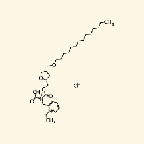 CCCCCCCCCCCCCCOC[C@H]1CO[C@H](COC(=O)N(Cc2cccc[n+]2CC)C(C)=O)C1.[Cl-]